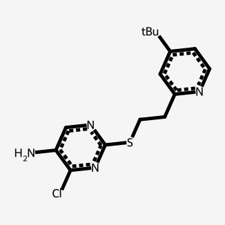 CC(C)(C)c1ccnc(CCSc2ncc(N)c(Cl)n2)c1